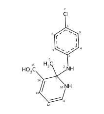 CC1(Nc2ccc(Cl)cc2)NC=CC=C1C(=O)O